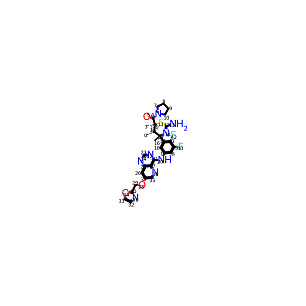 C[C@@H]1[C@@](C)(C(=O)N2CCCC2)SC(N)=N[C@]1(C)c1cc(Nc2ncnc3cc(OCc4ncco4)cnc23)cc(F)c1F